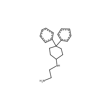 NCCNC1CCC(c2ccccc2)(c2ccccc2)CC1